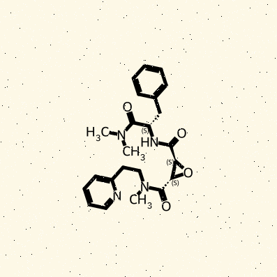 CN(C)C(=O)[C@H](Cc1ccccc1)NC(=O)[C@H]1O[C@@H]1C(=O)N(C)CCc1ccccn1